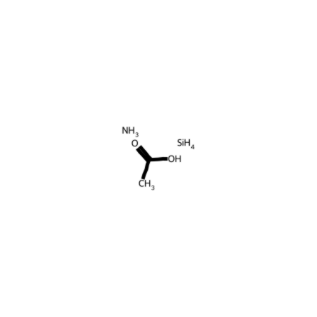 CC(=O)O.N.[SiH4]